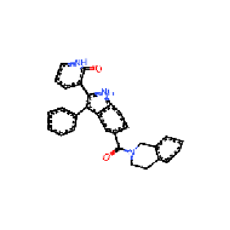 O=C(c1ccc2[nH]c(-c3ccc[nH]c3=O)c(-c3ccccc3)c2c1)N1CCc2ccccc2C1